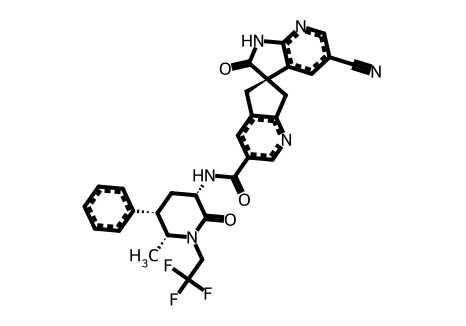 C[C@@H]1[C@H](c2ccccc2)C[C@H](NC(=O)c2cnc3c(c2)C[C@@]2(C3)C(=O)Nc3ncc(C#N)cc32)C(=O)N1CC(F)(F)F